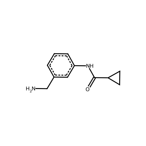 NCc1cccc(NC(=O)C2CC2)c1